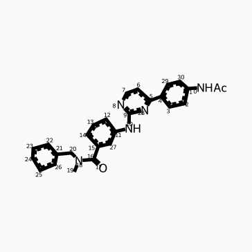 CC(=O)Nc1ccc(-c2ccnc(Nc3cccc(C(=O)N(C)Cc4ccccc4)c3)n2)cc1